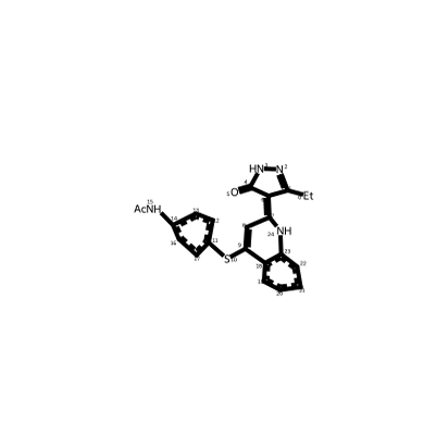 CCC1=NNC(=O)C1=C1C=C(Sc2ccc(NC(C)=O)cc2)c2ccccc2N1